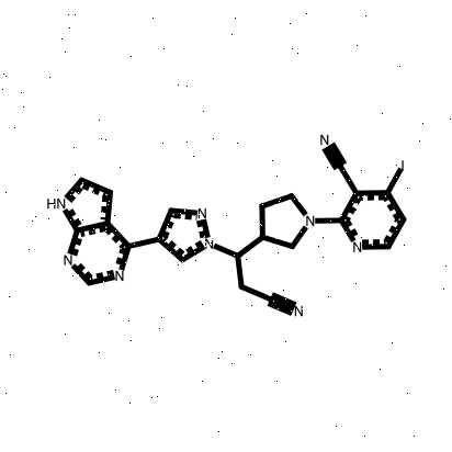 N#CCC(C1CCN(c2nccc(I)c2C#N)C1)n1cc(-c2ncnc3[nH]ccc23)cn1